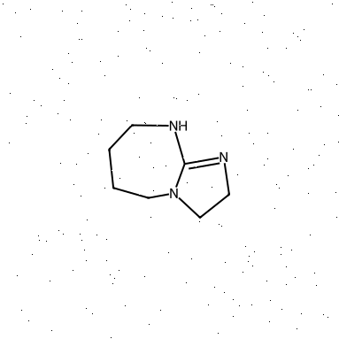 C1CCN2CCN=C2NC1